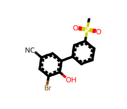 CS(=O)(=O)c1cccc(-c2cc(C#N)cc(Br)c2O)c1